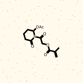 C=C(C)C(=O)OCC(=O)N1C(=O)CCCC1OC(C)=O